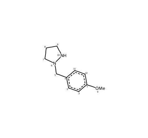 COc1ccc(CN2CCCN2)cc1